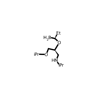 B[C@@H](CC)O[C@@H](CNC(C)C)COC(C)C